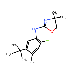 CCCC(C)(C)c1cc(NC2=NC(C)(C)CO2)c(F)cc1C(C)(C)C